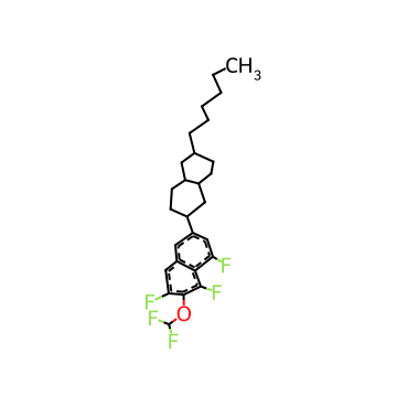 CCCCCCC1CCC2CC(c3cc(F)c4c(F)c(OC(F)F)c(F)cc4c3)CCC2C1